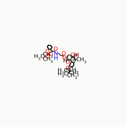 CC1CC[C@]23c4c5ccc(O[Si](C)(C)C(C)(C)C)c4O[C@H]2C(OC(=O)CCNC(=O)[C@@H](OC(=O)OC(C)(C)C)c2ccccc2)=CC[C@@]3(O)[C@H]1C5